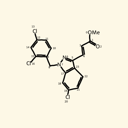 COC(=O)C=Cc1nn(Cc2ccc(Cl)cc2Cl)c2cc(Cl)ccc12